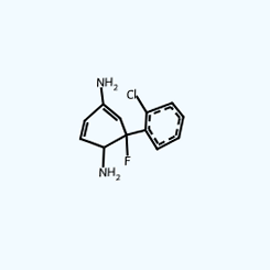 NC1=CC(F)(c2ccccc2Cl)C(N)C=C1